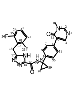 Cn1cncc(-c2ccc(C3(NC(=O)c4nnc(Cc5c(F)cccc5F)[nH]4)CC3)cc2)c1=O